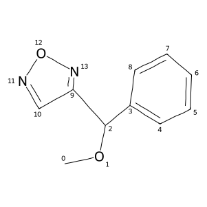 COC(c1ccccc1)c1cnon1